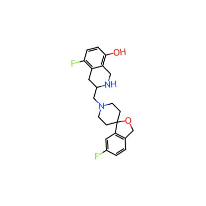 Oc1ccc(F)c2c1CNC(CN1CCC3(CC1)OCc1ccc(F)cc13)C2